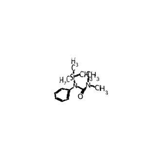 CN(C)C(=O)N(c1ccccc1)[Si](C)(C)C